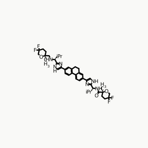 CC(C)[C@H](NC[C@@]1(C)CCC(F)(F)CO1)c1nc(-c2ccc3c(c2)CCc2cc(-c4c[nH]c([C@@H](NC(=O)[C@@]5(C)CCC(F)(F)CO5)C(C)C)n4)ccc2-3)c[nH]1